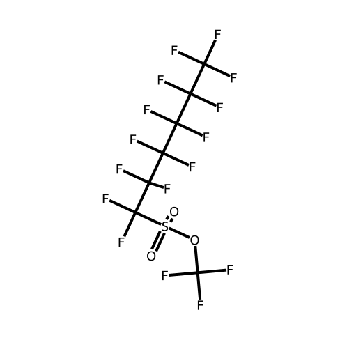 O=S(=O)(OC(F)(F)F)C(F)(F)C(F)(F)C(F)(F)C(F)(F)C(F)(F)C(F)(F)F